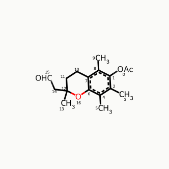 CC(=O)Oc1c(C)c(C)c2c(c1C)CCC(C)(CC=O)O2